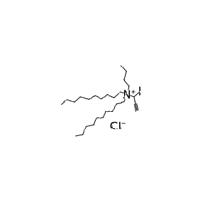 C#CC(I)[N+](CCCC)(CCCCCCCCCC)CCCCCCCCCC.[Cl-]